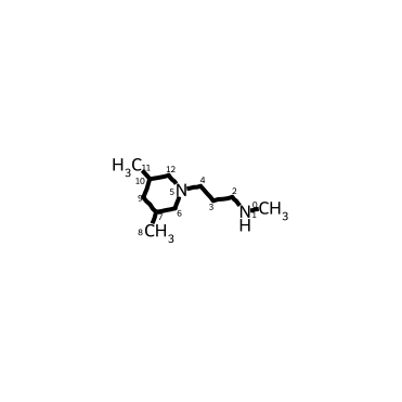 CNCCCN1CC(C)CC(C)C1